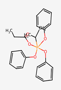 CCC(=O)OP(Oc1ccccc1)(Oc1ccccc1)(Oc1ccccc1)C(C)C